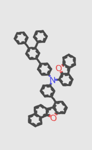 c1ccc(-c2ccc(-c3ccc(N(c4cccc(-c5cccc6oc7c8ccccc8ccc7c56)c4)c4cccc5c4oc4ccccc45)cc3)cc2-c2ccccc2)cc1